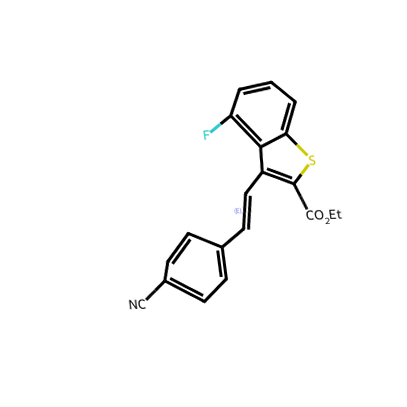 CCOC(=O)c1sc2cccc(F)c2c1/C=C/c1ccc(C#N)cc1